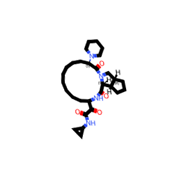 O=C(NC1CC1)C(=O)C1CCCCCCCC[C@H](N2CCCCC2)C(=O)N2C[C@@H]3CCC[C@@H]3[C@H]2C(=O)N1